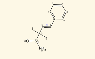 CC(C)(/C=C/c1ccccc1)[S+](N)[O-]